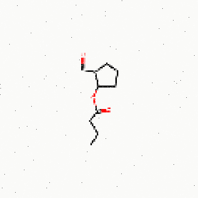 CCCC(=O)OC1CCCC1[C]=O